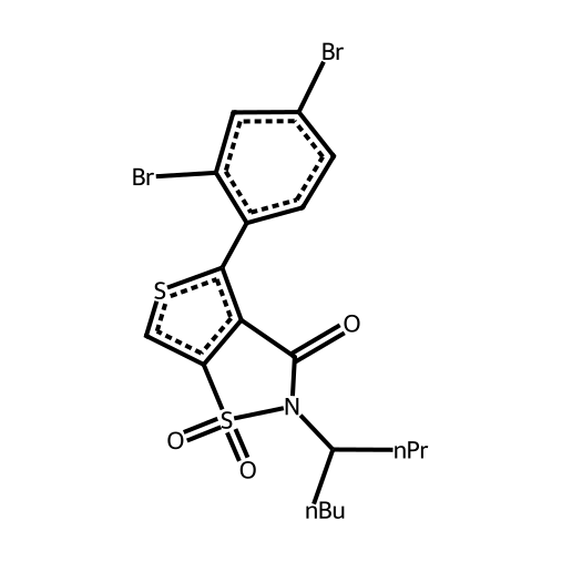 CCCCC(CCC)N1C(=O)c2c(csc2-c2ccc(Br)cc2Br)S1(=O)=O